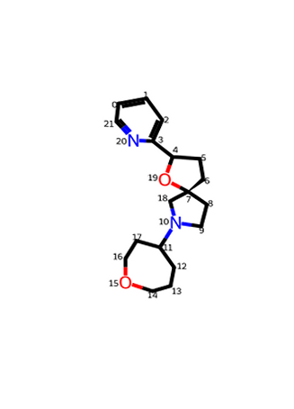 c1ccc(C2CC[C@]3(CCN(C4CCCOCC4)C3)O2)nc1